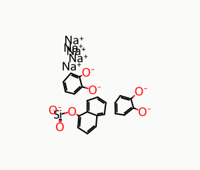 O=[Si]([O-])Oc1cccc2ccccc12.[Na+].[Na+].[Na+].[Na+].[Na+].[O-]c1ccccc1[O-].[O-]c1ccccc1[O-]